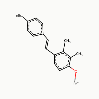 CCCCc1ccc(C=Cc2ccc(OCCC)c(C)c2C)cc1